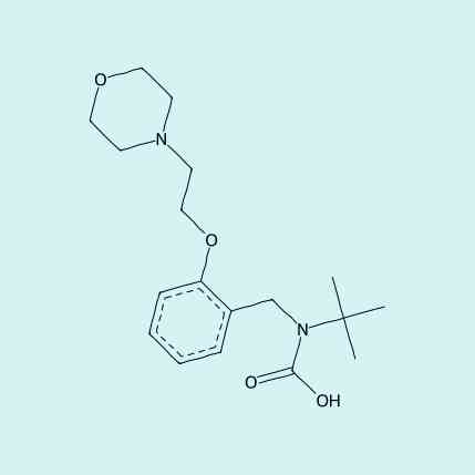 CC(C)(C)N(Cc1ccccc1OCCN1CCOCC1)C(=O)O